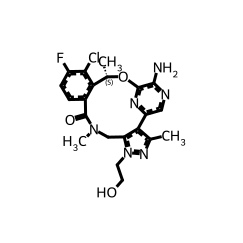 Cc1nn(CCO)c2c1-c1cnc(N)c(n1)O[C@@H](C)c1c(ccc(F)c1Cl)C(=O)N(C)C2